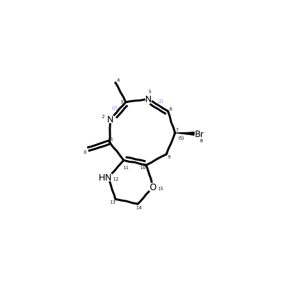 C=C1/N=C(C)\N=C/[C@@H](Br)CC2=C1NCCO2